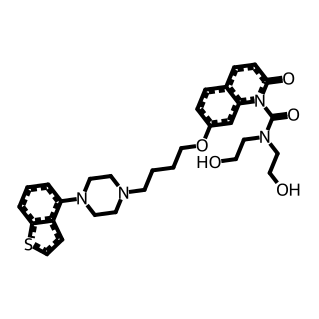 O=C(N(CCO)CCO)n1c(=O)ccc2ccc(OCCCCN3CCN(c4cccc5sccc45)CC3)cc21